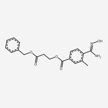 Cc1cc(C(=O)OCCC(=O)OCc2ccccc2)ccc1/C(N)=N/O